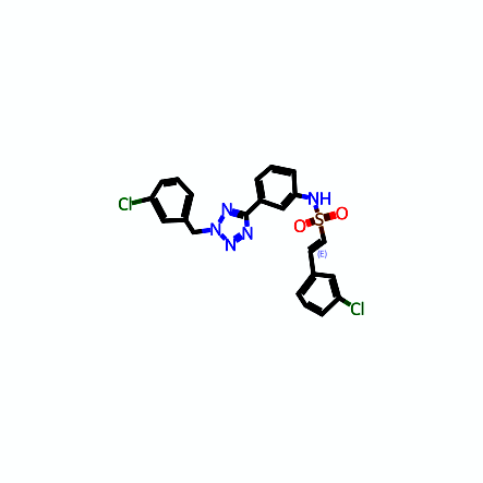 O=S(=O)(/C=C/c1cccc(Cl)c1)Nc1cccc(-c2nnn(Cc3cccc(Cl)c3)n2)c1